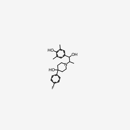 Cc1cc(C(O)C(C)N2CCC(O)(c3ccc(F)cc3)CC2)cc(C)c1O